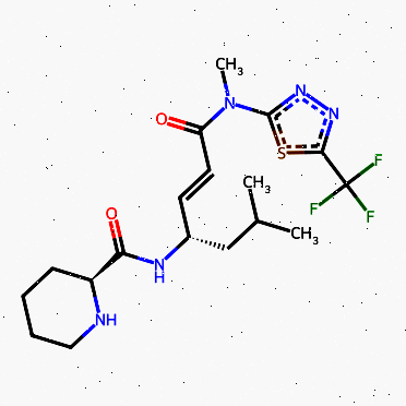 CC(C)C[C@@H](C=CC(=O)N(C)c1nnc(C(F)(F)F)s1)NC(=O)[C@@H]1CCCCN1